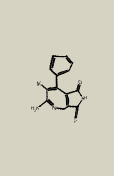 N#Cc1c(N)nc2c(c1-c1ccccc1)C(=O)NC2=O